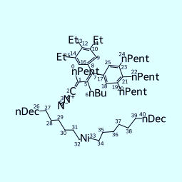 CCCCCC(=C=[N+]=[N-])C(CCCC)=C(c1cc(CC)c(CC)c(CC)c1)c1cc(CCCCC)c(CCCCC)c(CCCCC)c1.CCCCCCCCCCCCCCC[CH2][Ni][CH2]CCCCCCCCCCCCCCC